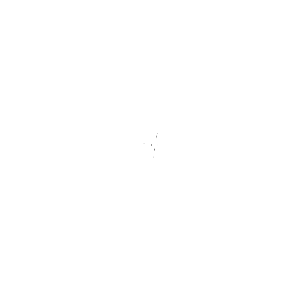 [F][Ca][F].[KH]